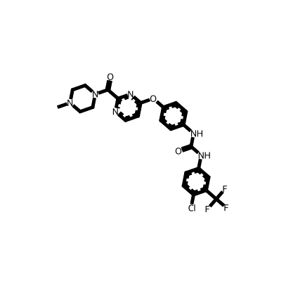 CN1CCN(C(=O)c2nccc(Oc3ccc(NC(=O)Nc4ccc(Cl)c(C(F)(F)F)c4)cc3)n2)CC1